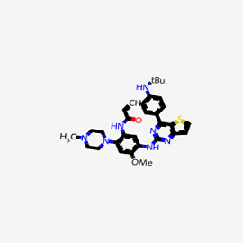 C=CC(=O)Nc1cc(Nc2nc(-c3ccc(NC(C)(C)C)cc3)c3sccc3n2)c(OC)cc1N1CCN(C)CC1